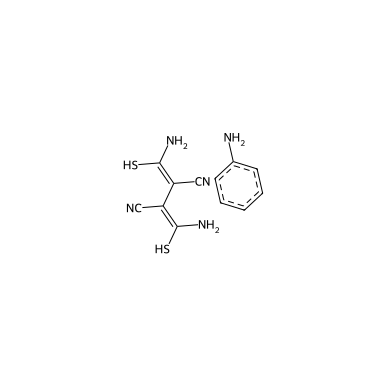 N#CC(=C(N)S)C(C#N)=C(N)S.Nc1ccccc1